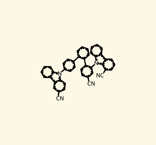 N#Cc1ccc(-c2ccccc2-c2ccc(-n3c4ccccc4c4cc(C#N)ccc43)cc2)c(-n2c3ccccc3c3cccc(C#N)c32)c1